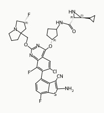 N#Cc1c(N)sc2c(F)ccc(-c3c(Cl)cc4c(O[C@@H]5CCC(NC(=O)[C@@H]6N[C@H]6C6CC6)C5)nc(OCC56CCCN5C[C@H](F)C6)nc4c3F)c12